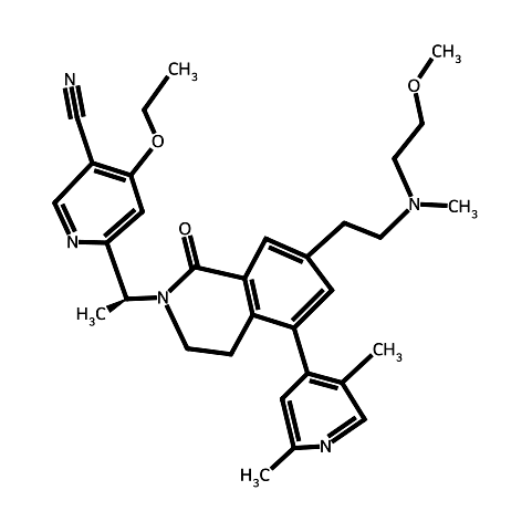 CCOc1cc([C@H](C)N2CCc3c(cc(CCN(C)CCOC)cc3-c3cc(C)ncc3C)C2=O)ncc1C#N